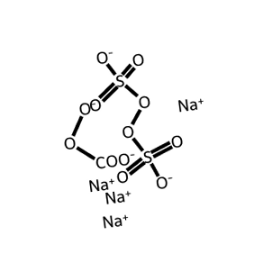 O=C([O-])O[O-].O=S(=O)([O-])OOS(=O)(=O)[O-].[Na+].[Na+].[Na+].[Na+]